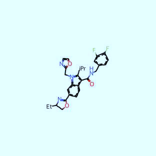 CCC1COC(c2ccc3c(C(=O)NCc4ccc(F)c(F)c4)c(C(C)C)n(Cc4ncco4)c3c2)=N1